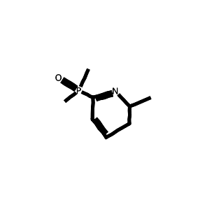 CC1CC=CC(P(C)(C)=O)=N1